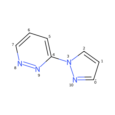 [c]1ccn(-c2cccnn2)n1